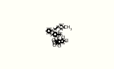 CN1CCN(CCCN2c3ccccc3Sc3ccc(C(F)(F)F)cc32)CC1.ClC1=C(Cl)C2(Cl)C3C(Cl)C(Cl)CC3C1(Cl)C2(Cl)Cl